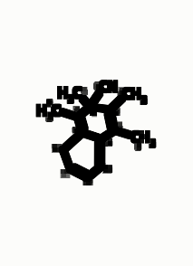 CC1=C(C)C(C)(C#N)C(C)=C2CC=CC=C12